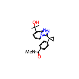 CNC(=O)c1ccc(C2(c3nnc4c(C(C)(C)O)cccn34)CC2)cc1